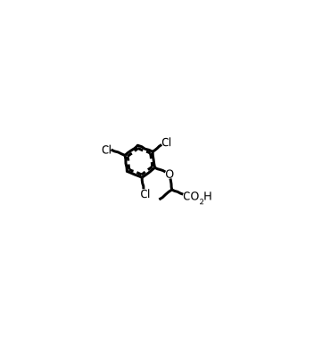 CC(Oc1c(Cl)cc(Cl)cc1Cl)C(=O)O